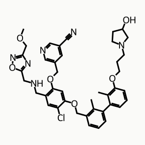 COCc1noc(CNCc2cc(Cl)c(OCc3cccc(-c4cccc(OCCCN5CCC(O)C5)c4C)c3C)cc2OCc2cncc(C#N)c2)n1